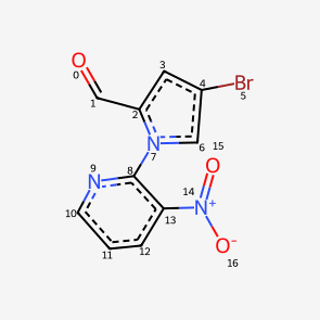 O=Cc1cc(Br)cn1-c1ncccc1[N+](=O)[O-]